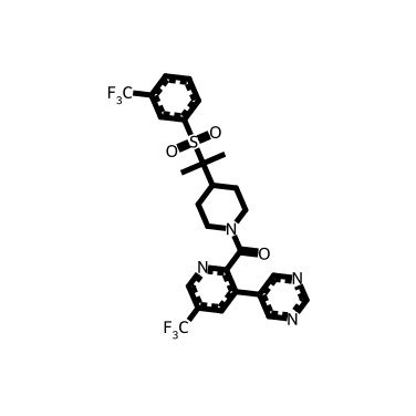 CC(C)(C1CCN(C(=O)c2ncc(C(F)(F)F)cc2-c2cncnc2)CC1)S(=O)(=O)c1cccc(C(F)(F)F)c1